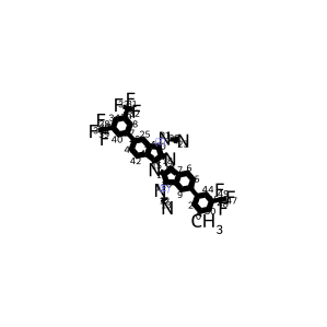 Cc1cc(-c2ccc3c(c2)/c(=N\C#N)c2nc4c(nc23)/c(=N\C#N)c2cc(-c3cc(C(F)(F)F)cc(C(F)(F)F)c3)ccc24)cc(C(F)(F)F)c1